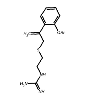 C=C(CSCCNC(=N)N)c1ccccc1OC(C)=O